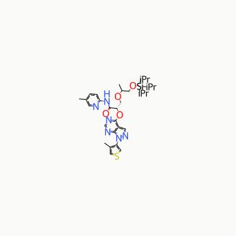 Cc1ccc(NC(=O)[C@H](COC(C)CO[Si](C(C)C)(C(C)C)C(C)C)Oc2ncnc3c2cnn3-c2cscc2C)nc1